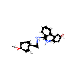 COc1ccc(CNc2nc3ccc(Br)cc3c3ccccc23)cc1